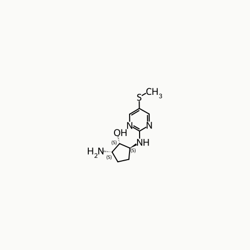 CSc1cnc(N[C@H]2CC[C@H](N)[C@@H]2O)nc1